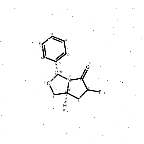 O=C1C(F)C[C@H]2CO[C@H](c3ccccc3)N12